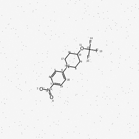 O=[N+]([O-])c1ccc(N2CCC(OC(F)(F)F)CC2)cc1